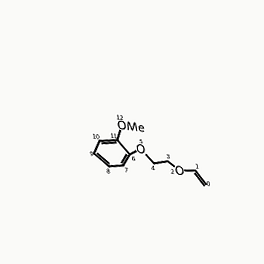 C=COCCOc1ccccc1OC